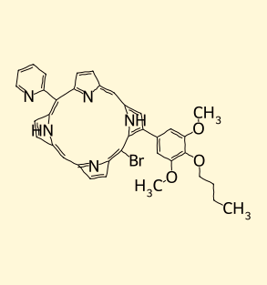 CCCCOc1c(OC)cc(-c2cc3cc4nc(c(-c5ccccn5)c5ccc(cc6nc(c(Br)c2[nH]3)C=C6)[nH]5)C=C4)cc1OC